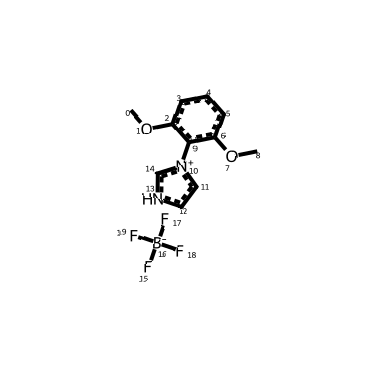 COc1cccc(OC)c1-[n+]1cc[nH]c1.F[B-](F)(F)F